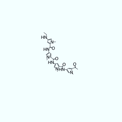 CCNc1cc(C(=O)Nc2cc(C(=O)Nc3cc(C(=O)Nc4cc(C(C)=O)n(C)c4)n(C)c3)n(C)c2)n(C)c1